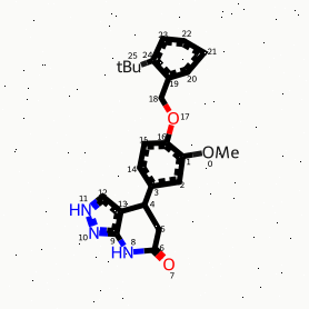 COc1cc(C2CC(=O)Nc3n[nH]cc32)ccc1OCc1ccccc1C(C)(C)C